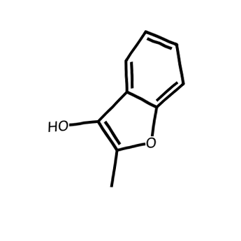 Cc1oc2ccccc2c1O